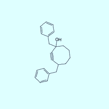 OC1(Cc2ccccc2)C#CC(Cc2ccccc2)CCCC1